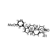 CCN1C(=O)CCC2(C)C1=CC[C@H]1[C@H]3CC=C(c4cncc(OC)c4)C3(C)CC[C@@H]12